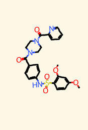 COc1ccc(S(=O)(=O)Nc2ccc(C(=O)N3CCN(C(=O)c4ccccn4)CC3)cc2)c(OC)c1